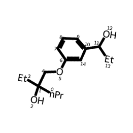 CCCC(O)(CC)COc1cccc(C(O)CC)c1